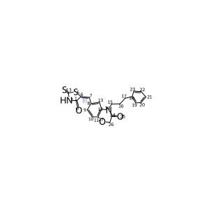 O=C1NC(=S)S/C1=C/c1ccc2c(c1)N(CCCc1ccccc1)C(=O)CO2